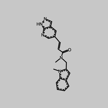 CN(Cc1cc2ccccc2n1C)C(=O)C=Cc1cnc2[nH]ncc2c1